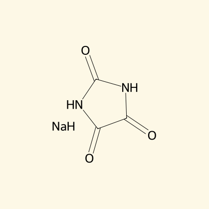 O=C1NC(=O)C(=O)N1.[NaH]